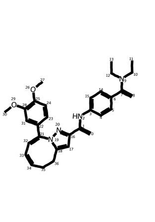 C=C(Nc1ccc(C(=C)N(CC)CC)cc1)c1cc2n(n1)/C(c1ccc(OC)c(OC)c1)=C\C=C/CC2